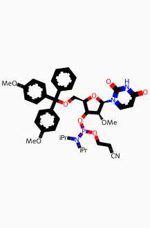 COc1ccc(C(OC[C@H]2O[C@@H](n3ccc(=O)[nH]c3=O)[C@@H](OC)C2OP(OCCC#N)N(C(C)C)C(C)C)(c2ccccc2)c2ccc(OC)cc2)cc1